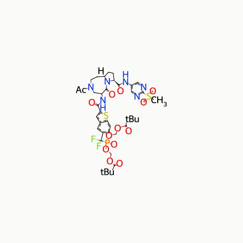 CC(=O)N1CC[C@H]2CC[C@@H](C(=O)Nc3cnc(S(C)(=O)=O)nc3)N2C(=O)C(NC(=O)c2cc3cc(C(F)(F)P(=O)(OCOC(=O)C(C)(C)C)OCOC(=O)C(C)(C)C)ccc3s2)C1